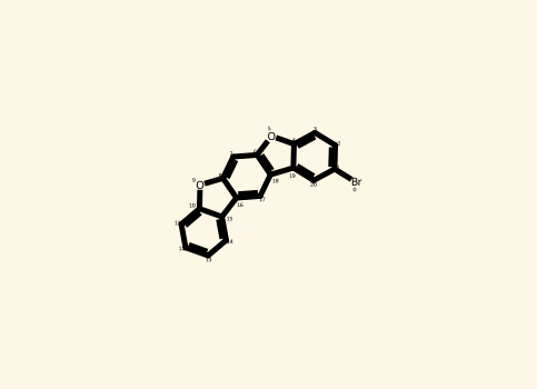 Brc1ccc2oc3cc4oc5ccccc5c4cc3c2c1